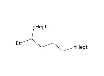 [CH2]CCCCCCCCCC(CC)CCCCCC[CH2]